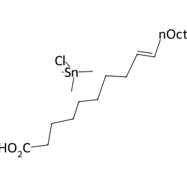 CCCCCCCCC=CCCCCCCCC(=O)O.[CH3][Sn]([CH3])[Cl]